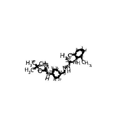 Cc1cccc(C)c1NC(=S)N/N=C/c1ccc(NC(=O)OC(C)(C)C)cc1